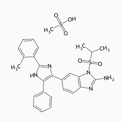 CS(=O)(=O)O.Cc1ccccc1-c1nc(-c2ccc3nc(N)n(S(=O)(=O)C(C)C)c3c2)c(-c2ccccc2)[nH]1